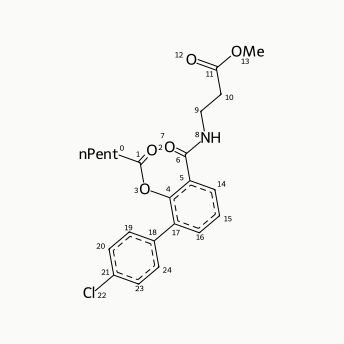 CCCCCC(=O)Oc1c(C(=O)NCCC(=O)OC)cccc1-c1ccc(Cl)cc1